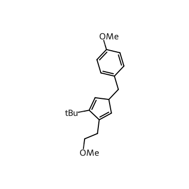 COCCC1=CC(Cc2ccc(OC)cc2)C=C1C(C)(C)C